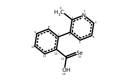 Cc1ncccc1-c1ccccc1C(O)=[Se]